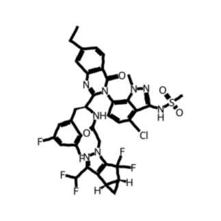 CCc1ccc2c(=O)n(-c3ccc(Cl)c4c(NS(C)(=O)=O)nn(C)c34)c([C@H](Cc3cc(F)cc(F)c3)NC(=O)Cn3nc(C(F)F)c4c3C(F)(F)[C@@H]3C[C@H]43)nc2c1